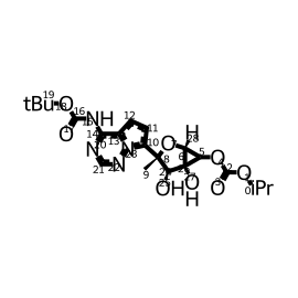 CC(C)OC(=O)OC1[C@H]2O[C@@](C)(c3ccc4c(NC(=O)OC(C)(C)C)ncnn34)[C@H](O)[C@@]12O